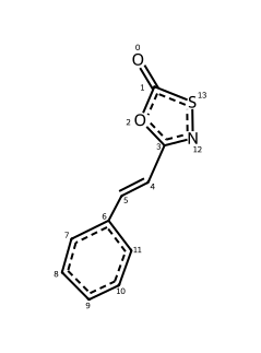 O=c1oc(/C=C/c2ccccc2)ns1